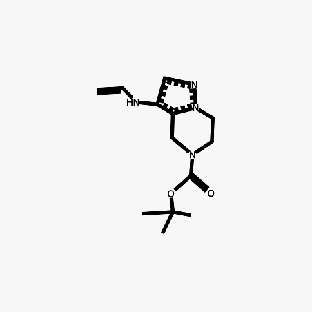 C=CNc1cnn2c1CN(C(=O)OC(C)(C)C)CC2